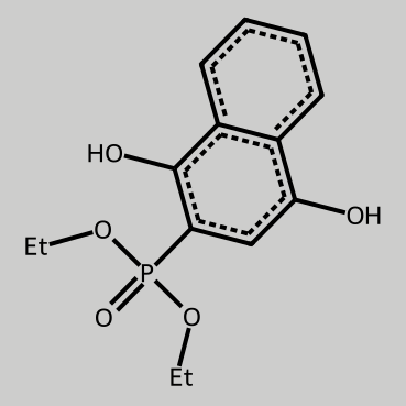 CCOP(=O)(OCC)c1cc(O)c2ccccc2c1O